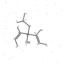 CC=C(C)C(O)(CN(C)C)C(C)=CC